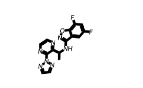 CC(Nc1noc2c(F)cc(F)cc12)c1nccnc1-n1nccn1